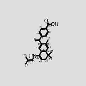 C=C(c1ccc(C(=O)O)cc1)c1cc2c(cc1C)C(C)(C)CC=C2NCC(C)C